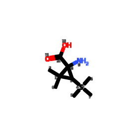 CC1(C)C([Si](C)(C)C)C1(N)C(=O)O